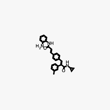 Cc1cccc(/C(=C\c2ccc(/C=C/C(=O)Nc3ccccc3N)cc2)C(=O)NC2CC2)c1